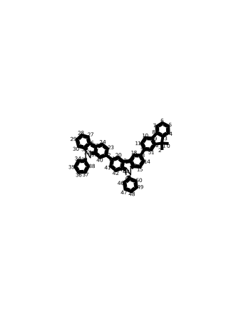 CC1(C)c2ccccc2-c2ccc(-c3ccc4c(c3)c3cc(-c5ccc6c7ccccc7n(-c7ccccc7)c6c5)ccc3n4-c3ccccc3)cc21